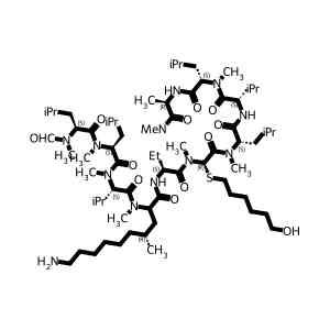 CC[C@H](NC(=O)C(C[C@H](C)CCCCCCN)N(C)C(=O)[C@H](C(C)C)N(C)C(=O)[C@H](CC(C)C)N(C)C(=O)[C@H](CC(C)C)N(C)C=O)C(=O)N(C)[C@H](SCCCCCCO)C(=O)N(C)[C@@H](CC(C)C)C(=O)N[C@H](C(=O)N(C)[C@@H](CC(C)C)C(=O)N[C@H](C)C(=O)NC)C(C)C